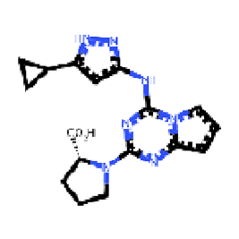 O=C(O)[C@H]1CCCN1c1nc(Nc2cc(C3CC3)[nH]n2)n2cccc2n1